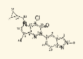 Cn1cc2cc(-n3nc4c(I)cn(CC5CC5)c4c(Cl)c3=O)ccc2n1